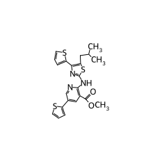 COC(=O)c1cc(-c2cccs2)cnc1Nc1nc(-c2cccs2)c(CC(C)C)s1